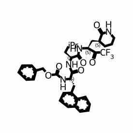 CC(C)C[C@H](NC(=O)[C@H](Cc1cccc2ccccc12)NC(=O)OCc1ccccc1)C(=O)N[C@@H](C[C@@H]1CCCNC1=O)C(=O)C(F)(F)F